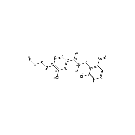 C=Cc1ccnc(Cl)c1CN(C)C(C)c1cnc(OCCF)c(Cl)c1